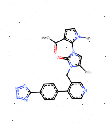 CCCCc1cn(-c2c(C(=O)OC)ccn2C(C)C)c(=O)n1Cc1cnccc1-c1ccc(-c2nnn[nH]2)cc1